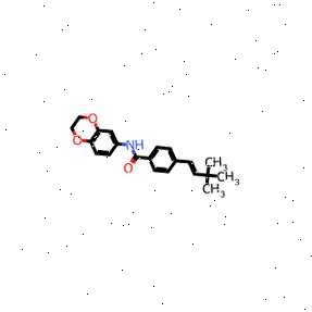 CC(C)(C)/C=C/c1ccc(C(=O)Nc2ccc3c(c2)OCCO3)cc1